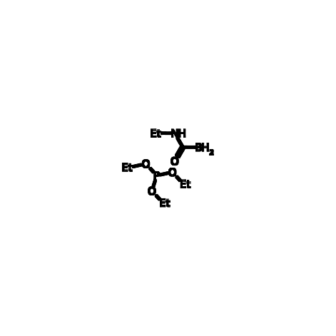 BC(=O)NCC.CCOP(OCC)OCC